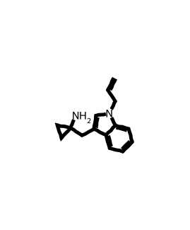 C=CCn1cc(CC2(N)CC2)c2ccccc21